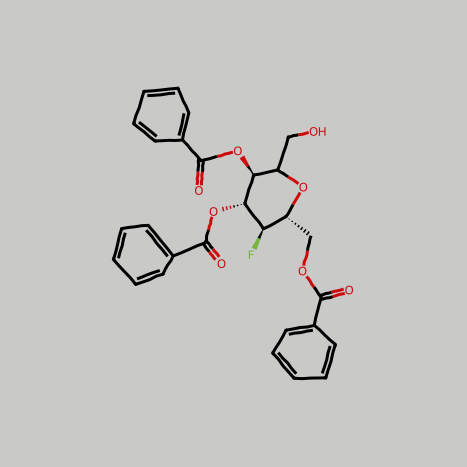 O=C(OC[C@H]1OC(CO)[C@H](OC(=O)c2ccccc2)[C@@H](OC(=O)c2ccccc2)[C@@H]1F)c1ccccc1